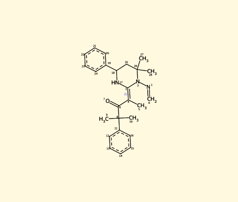 C=NN1/C(=C(\C)C(=O)C(C)(C)c2ccccc2)NC(c2ccccc2)CC1(C)C